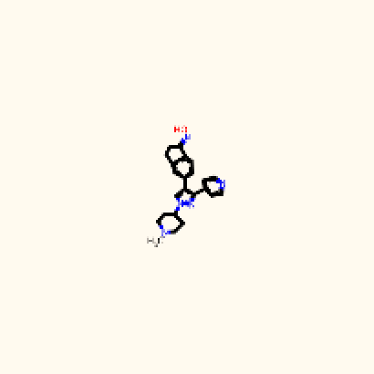 CN1CCC(n2cc(-c3ccc4c(c3)CCC4=NO)c(-c3ccncc3)n2)CC1